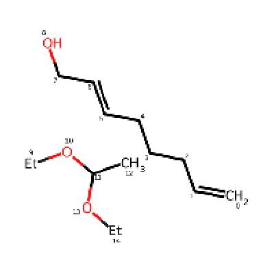 C=CCCC/C=C/CO.CCOC(C)OCC